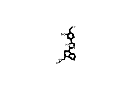 CC(C)Cc1ccc(C2CN=C(c3ccc(CNC(C)C)c4ccccc34)N2)cc1C#N